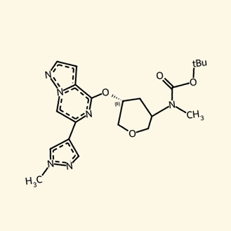 CN(C(=O)OC(C)(C)C)C1COC[C@H](Oc2nc(-c3cnn(C)c3)cn3nccc23)C1